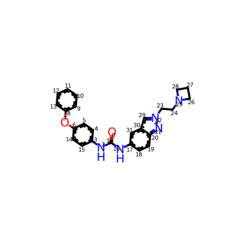 O=C(Nc1ccc(Oc2ccccc2)cc1)Nc1ccc2nn(CCN3CCC3)cc2c1